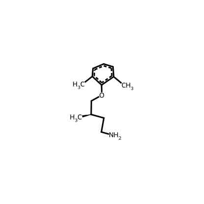 Cc1cccc(C)c1OC[C@H](C)CCN